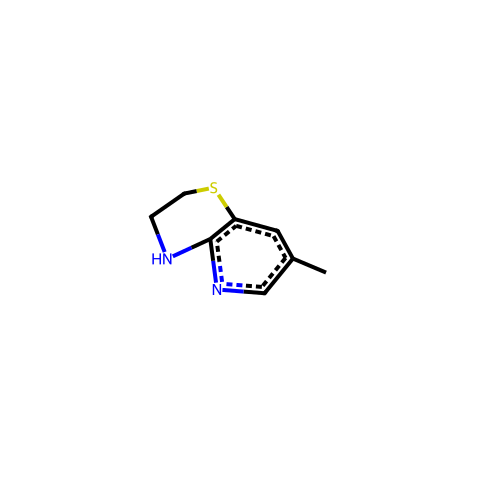 Cc1cnc2c(c1)SCCN2